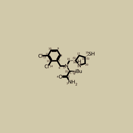 CC[C@H](C)[C@@H](C(N)=O)N(Cc1cccc(Cl)c1Cl)C[C@@H]1C[C@H](S)CN1